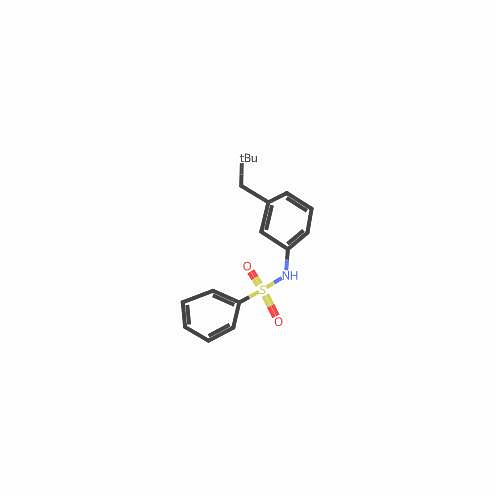 CC(C)(C)Cc1cccc(NS(=O)(=O)c2ccccc2)c1